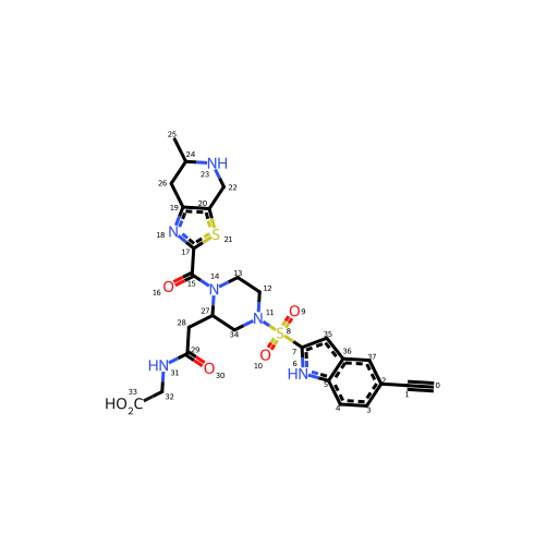 C#Cc1ccc2[nH]c(S(=O)(=O)N3CCN(C(=O)c4nc5c(s4)CNC(C)C5)C(CC(=O)NCC(=O)O)C3)cc2c1